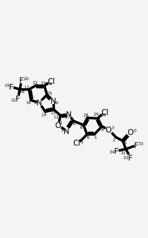 O=C(COc1cc(Cl)c(-c2noc(-c3cn4cc(C(F)(F)F)cc(Cl)c4n3)n2)cc1Cl)C(F)(F)F